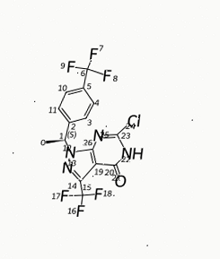 C[C@@H](c1ccc(C(F)(F)F)cc1)n1nc(C(F)(F)F)c2c(=O)[nH]c(Cl)nc21